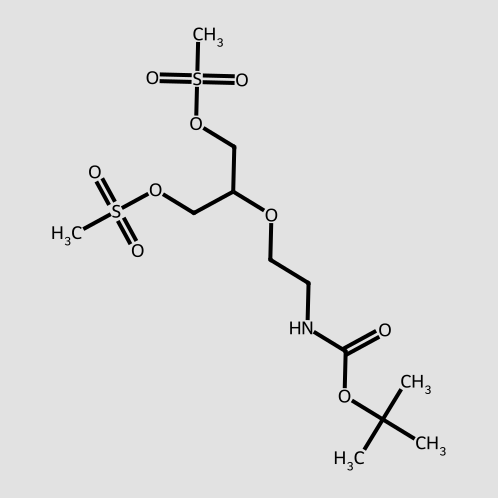 CC(C)(C)OC(=O)NCCOC(COS(C)(=O)=O)COS(C)(=O)=O